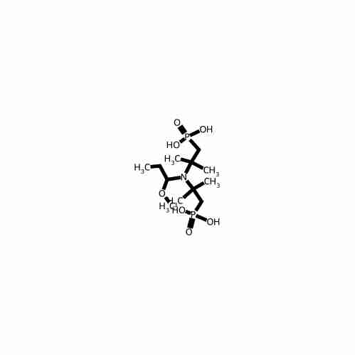 CCC(OC)N(C(C)(C)CP(=O)(O)O)C(C)(C)CP(=O)(O)O